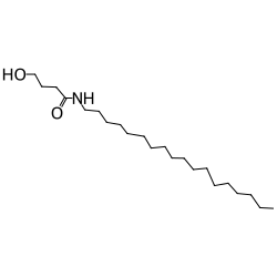 CCCCCCCCCCCCCCCCCCNC(=O)CCCO